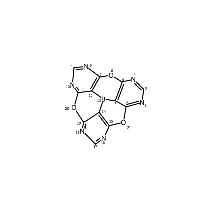 c1nc2c3c(n1)Oc1ncnc4c1B3c1c(ncnc1O4)O2